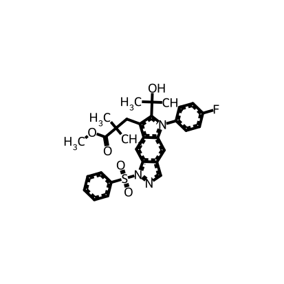 COC(=O)C(C)(C)Cc1c(C(C)(C)O)n(-c2ccc(F)cc2)c2cc3cnn(S(=O)(=O)c4ccccc4)c3cc12